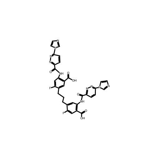 O=C(Nc1cc(CCCc2cc(C(=O)O)c(NC(=O)c3ccc(-n4ccnc4)nn3)cc2F)c(F)cc1C(=O)O)c1ccc(-n2ccnc2)nn1